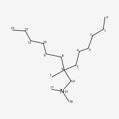 CCCCCCC(C)(CCCCCC)CN(C)C